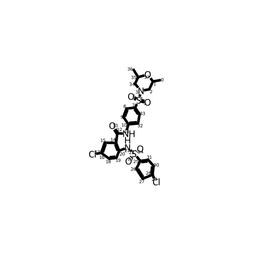 CC1CN(S(=O)(=O)c2ccc(NC(=O)c3cc(Cl)ccc3NS(=O)(=O)c3ccc(Cl)cc3)cc2)CC(C)O1